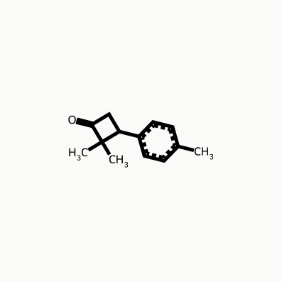 Cc1ccc(C2CC(=O)C2(C)C)cc1